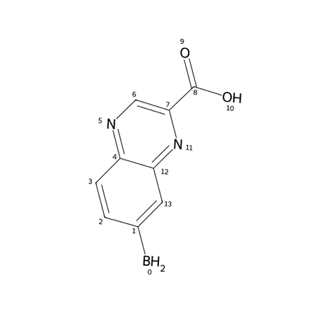 Bc1ccc2ncc(C(=O)O)nc2c1